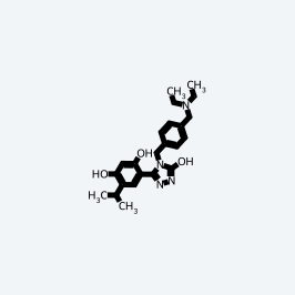 CCN(CC)Cc1ccc(Cn2c(O)nnc2-c2cc(C(C)C)c(O)cc2O)cc1